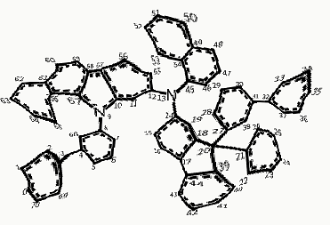 c1ccc(-c2cccc(-n3c4cc(N(c5ccc6c(c5)C(c5ccccc5)(c5cccc(-c7ccccc7)c5)c5ccccc5-6)c5cccc6ccccc56)ccc4c4ccc5ccccc5c43)c2)cc1